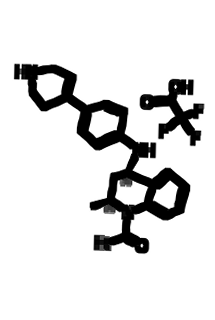 CCC(=O)N1c2ccccc2[C@H](Nc2ccc(C3=CCNCC3)cc2)C[C@@H]1C.O=C(O)C(F)(F)F